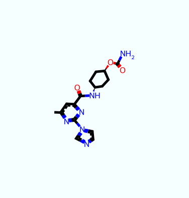 Cc1cc(C(=O)N[C@H]2CC[C@H](OC(N)=O)CC2)nc(-n2ccnc2)n1